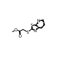 COC(=O)CSc1nc2cccnc2s1